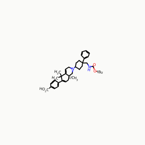 CC(C)(C)OC(=O)NCC1(c2ccccc2)CCC(N2CC=C3C(C)(C)C(c4ccc(C(=O)O)cc4)=CC[C@]3(C)C2)CC1